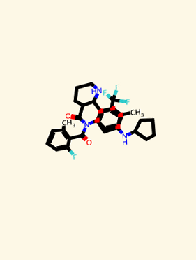 Cc1ccc(N(C(=O)c2c(C)cccc2F)C(=O)C2CCCNC2c2ccc(NC3CCCC3)cc2)cc1C(F)(F)F